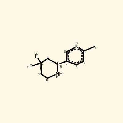 Cc1ccc([C@@H]2CC(F)(F)CCN2)cn1